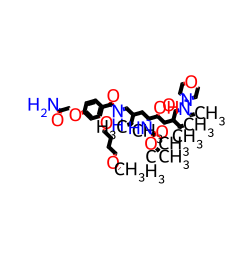 CCN(C(=O)C(CC(O)C(CC(CNC(=O)c1ccc(OCC(N)=O)cc1OCCCCOC)C(C)C)NC(=O)OC(C)(C)C)C(C)C)N1CCOCC1